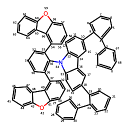 c1ccc(-c2ccccc2-c2ccc3c(c2)c2cc(-c4ccccc4-c4ccccc4)ccc2n3-c2c(-c3cccc4oc5ccccc5c34)cccc2-c2cccc3oc4ccccc4c23)cc1